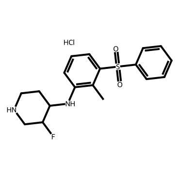 Cc1c(NC2CCNCC2F)cccc1S(=O)(=O)c1ccccc1.Cl